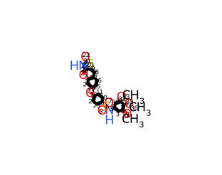 COc1cc(NS(=O)(=O)c2ccc(Oc3ccc(/C=C4/SC(=O)NC4=O)cc3)cc2)cc(OC)c1OC